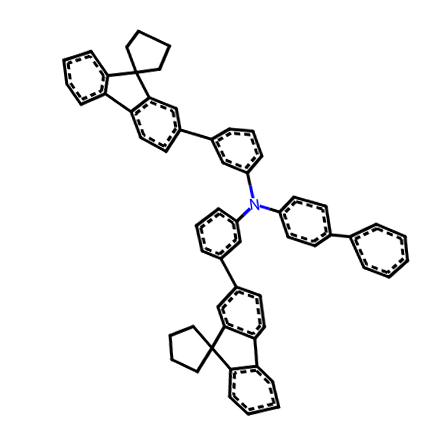 c1ccc(-c2ccc(N(c3cccc(-c4ccc5c(c4)C4(CCCC4)c4ccccc4-5)c3)c3cccc(-c4ccc5c(c4)C4(CCCC4)c4ccccc4-5)c3)cc2)cc1